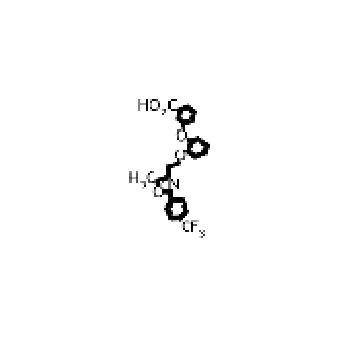 Cc1oc(-c2ccc(C(F)(F)F)cc2)nc1CCOc1ccccc1Oc1cccc(C(=O)O)c1